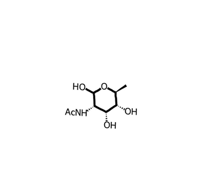 CC(=O)N[C@@H]1C(O)O[C@@H](C)[C@H](O)[C@@H]1O